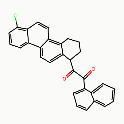 O=C(C(=O)C1CCCc2c1ccc1c2ccc2c(Cl)cccc21)c1cccc2ccccc12